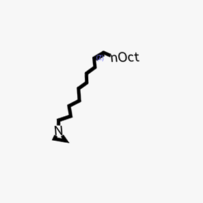 CCCCCCCC/C=C\CCCCCCCCN1CC1